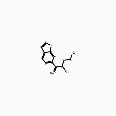 C=C(c1ccc2ccsc2c1)C(C)NCC